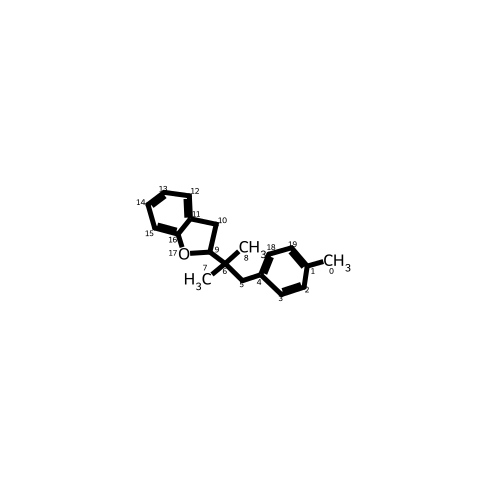 Cc1ccc(CC(C)(C)C2Cc3ccccc3O2)cc1